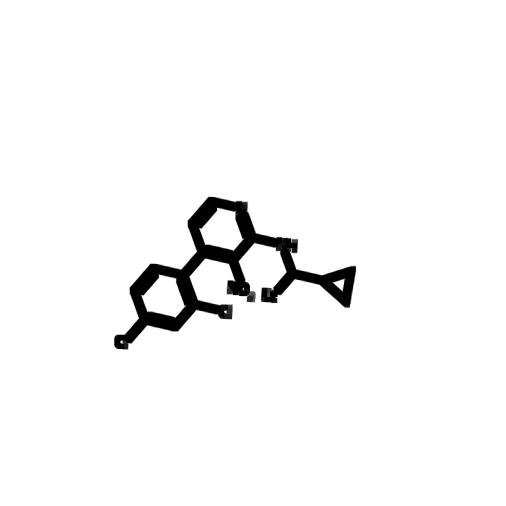 CCC(Nc1nccc(-c2ccc(Cl)cc2Cl)c1[N+](=O)[O-])C1CC1